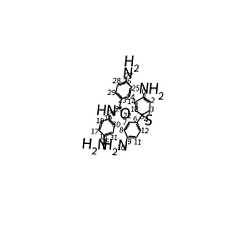 NC1=CC2SC2(c2ccc(N)cc2)C=C1.Nc1ccc(NC(=O)c2ccc(N)cc2)cc1